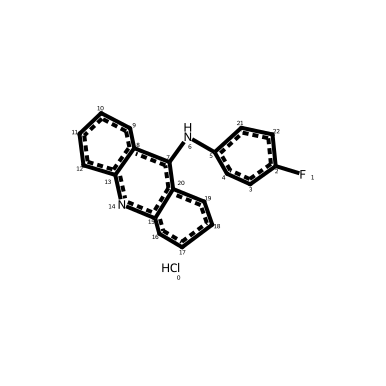 Cl.Fc1ccc(Nc2c3ccccc3nc3ccccc23)cc1